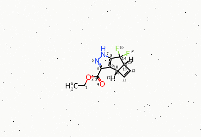 CCOC(=O)c1n[nH]c2c1[C@H]1C=C[C@H]1C2(F)F